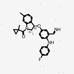 Cc1ccc2c(c1)N(C(=O)C1(C)CC1)[C@@H](C)[C@@H]2Oc1ccc(Nc2ccc(F)cc2)c(C=N)c1